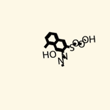 CN=Nc1c(SOOO)cc2cccc(C)c2c1O